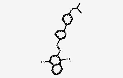 CC(C)Oc1ccc(-c2ccc(/N=N/c3cc(S)c4ccccc4c3N)cn2)cc1